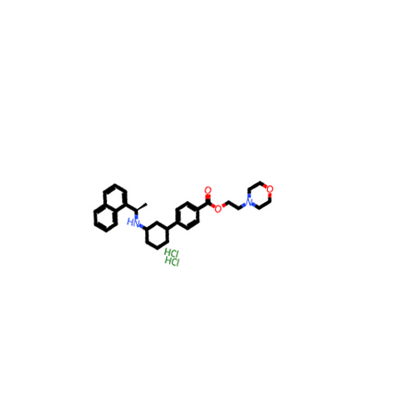 C[C@@H](NC1CCCC(c2ccc(C(=O)OCCN3CCOCC3)cc2)C1)c1cccc2ccccc12.Cl.Cl